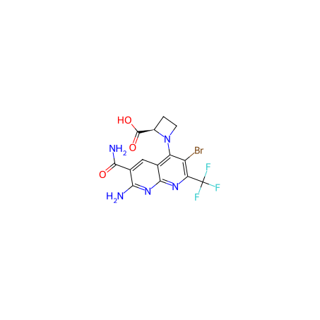 NC(=O)c1cc2c(N3CC[C@@H]3C(=O)O)c(Br)c(C(F)(F)F)nc2nc1N